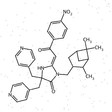 CC1C(CN2C(=O)C(Cc3ccncc3)(Cc3ccncc3)NC2=CC(=O)c2ccc([N+](=O)[O-])cc2)CC2CC1C2(C)C